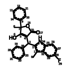 Cc1c(C(C2=C(O)C(C)(c3ccccc3)OC2=O)c2ccccc2)[nH]c2ccc(F)cc12